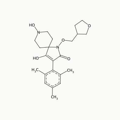 Cc1cc(C)c(C2=C(O)C3(CCN(O)CC3)N(OCC3CCOC3)C2=O)c(C)c1